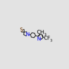 Cc1cc(C(F)(F)F)cnc1C1CCC(N2CCC3(CSC3)C2)CC1